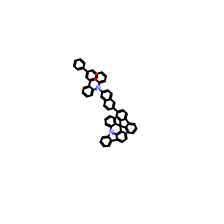 c1ccc(-c2cccc(-c3ccccc3N(c3ccccc3)c3ccc4cc(-c5ccc6c(c5)C5(c7ccccc7-6)c6ccccc6-n6c7ccccc7c7cccc5c76)ccc4c3)c2)cc1